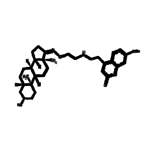 COc1ccc2c(CCNCCO/N=C3/CC[C@H]4[C@@H]5CC[C@H]6C[C@H](O)CC[C@]6(C)[C@H]5CC[C@]34C)cc(=O)oc2c1